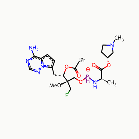 CO[C@](CF)(CO[PH](=O)N[C@@H](C)C(=O)O[C@@H]1CCN(C)C1)[C@H](Cc1ccc2c(N)ncnn12)OC(=O)C(C)C